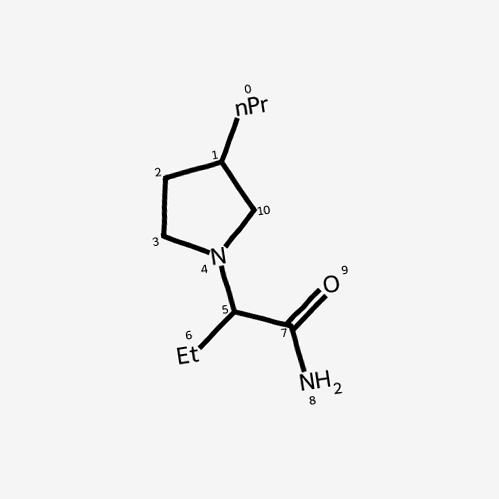 CCCC1CCN(C(CC)C(N)=O)C1